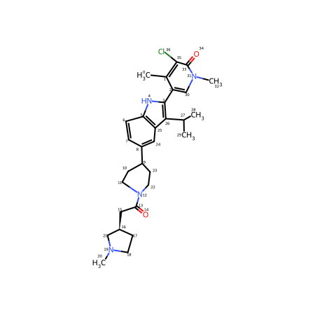 Cc1c(-c2[nH]c3ccc(C4CCN(C(=O)C[C@H]5CCN(C)C5)CC4)cc3c2C(C)C)cn(C)c(=O)c1Cl